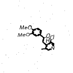 COc1ccc([C@H](O)Cc2c(C)cncc2Cl)cc1OC